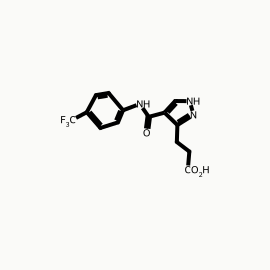 O=C(O)CCc1n[nH]cc1C(=O)Nc1ccc(C(F)(F)F)cc1